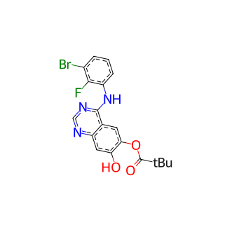 CC(C)(C)C(=O)Oc1cc2c(Nc3cccc(Br)c3F)ncnc2cc1O